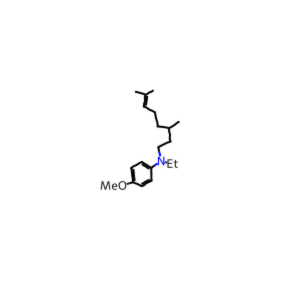 CCN(CCC(C)CCC=C(C)C)c1ccc(OC)cc1